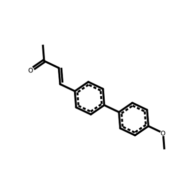 COc1ccc(-c2ccc(/C=C/C(C)=O)cc2)cc1